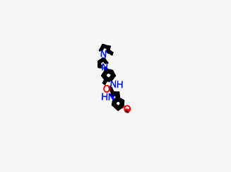 COc1ccc2[nH]c(C(=O)Nc3ccc(N4CCC(N5CCCC5C)C4)cc3C)cc2c1